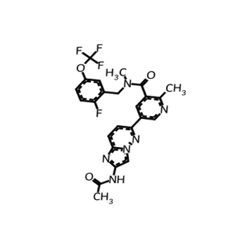 CC(=O)Nc1cn2nc(-c3cnc(C)c(C(=O)N(C)Cc4cc(OC(F)(F)F)ccc4F)c3)ccc2n1